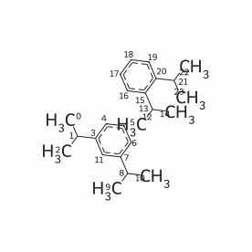 CC(C)c1cccc(C(C)C)c1.CC(C)c1ccccc1C(C)C